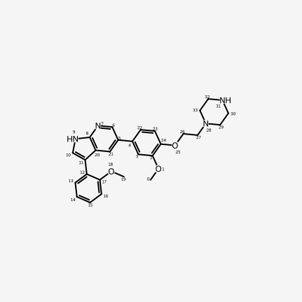 COc1cc(-c2cnc3[nH]cc(-c4ccccc4OC)c3c2)ccc1OCCN1CCNCC1